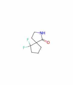 O=C1NCCC12CCCC2(F)F